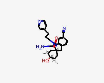 C[C@@H]1C[C@@]2(Cc3ccc(C#N)cc3C23N=C(N)N(CCc2ccncc2)C3=O)C[C@H](C)[C@H]1O